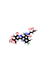 CC[C@@]1(O)C(=O)OCc2c1cc1n(c2=O)Cc2c-1nc1cc(F)c(C)c3c1c2C(C)(NC(=O)CCC(C)O)C3